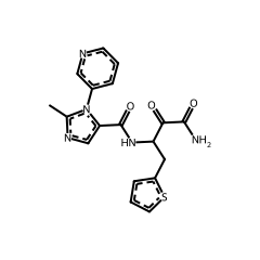 Cc1ncc(C(=O)NC(Cc2cccs2)C(=O)C(N)=O)n1-c1cccnc1